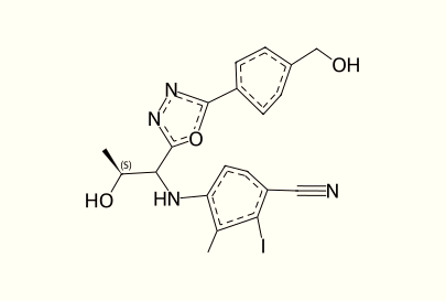 Cc1c(NC(c2nnc(-c3ccc(CO)cc3)o2)[C@H](C)O)ccc(C#N)c1I